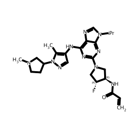 C=CC(=O)N[C@@H]1CN(c2nc(Nc3cnn(C4CCN(C)C4)c3C)c3ncn(C(C)C)c3n2)C[C@H]1F